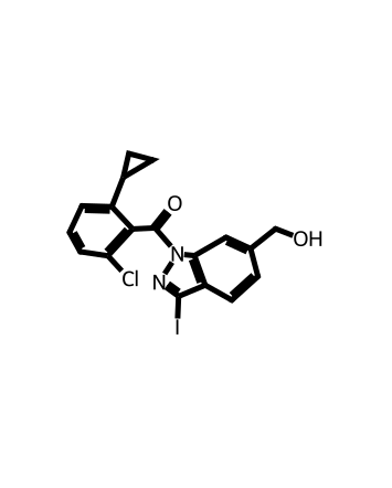 O=C(c1c(Cl)cccc1C1CC1)n1nc(I)c2ccc(CO)cc21